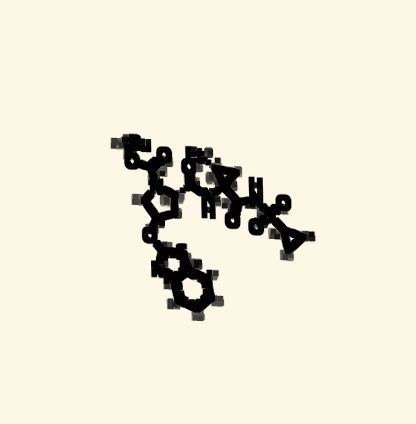 CC[C@@H]1C[C@]1(NC(=O)[C@@H]1C[C@@H](Oc2nc3ccccc3s2)CN1C(=O)OC(C)(C)C)C(=O)NS(=O)(=O)C1CC1